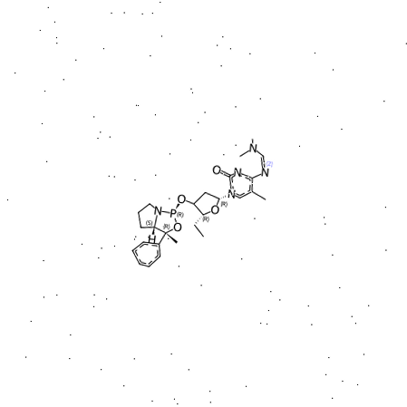 CC[C@H]1O[C@@H](n2cc(C)c(/N=C\N(C)C)nc2=O)CC1O[P@@]1O[C@](C)(c2ccccc2)[C@@H]2CCCN21